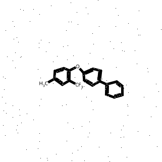 Cc1ccc(Oc2ccc(-c3ccccc3)cc2)c(C(F)(F)F)c1